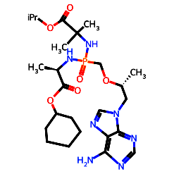 CC(C)OC(=O)C(C)(C)NP(=O)(CO[C@H](C)Cn1cnc2c(N)ncnc21)N[C@H](C)C(=O)OC1CCCCC1